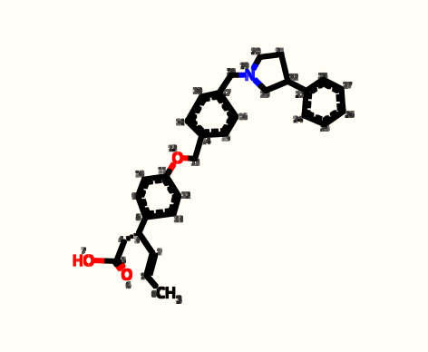 CC=C[C@H](CC(=O)O)c1ccc(OCc2ccc(CN3CCC(c4ccccc4)C3)cc2)cc1